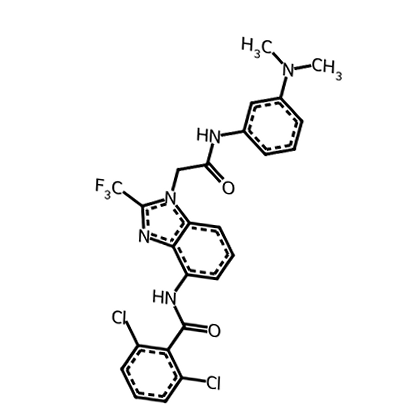 CN(C)c1cccc(NC(=O)Cn2c(C(F)(F)F)nc3c(NC(=O)c4c(Cl)cccc4Cl)cccc32)c1